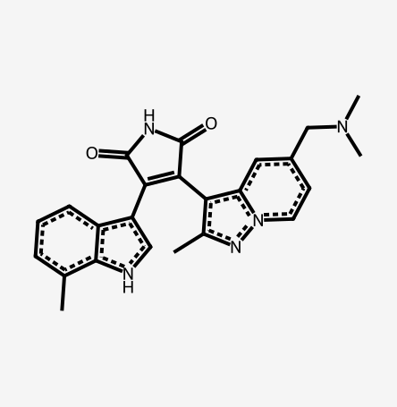 Cc1nn2ccc(CN(C)C)cc2c1C1=C(c2c[nH]c3c(C)cccc23)C(=O)NC1=O